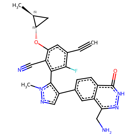 C#Cc1cc(O[C@H]2C[C@@H]2C)c(C#N)c(-c2c(-c3ccc4c(=O)[nH]nc(CN)c4c3)cnn2C)c1F